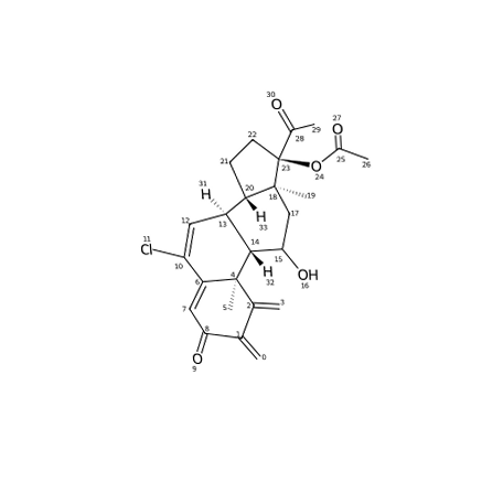 C=C1C(=C)[C@@]2(C)C(=CC1=O)C(Cl)=C[C@@H]1[C@@H]2C(O)C[C@@]2(C)[C@H]1CC[C@]2(OC(C)=O)C(C)=O